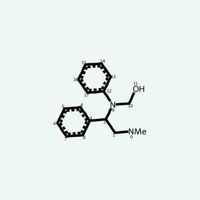 CNCC(c1ccccc1)N(CO)c1ccccc1